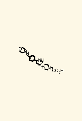 O=C(O)CN1CCN(C[C@@H]2CC(c3ccc(C=NN4CCOCC4)cc3)NO2)CC1